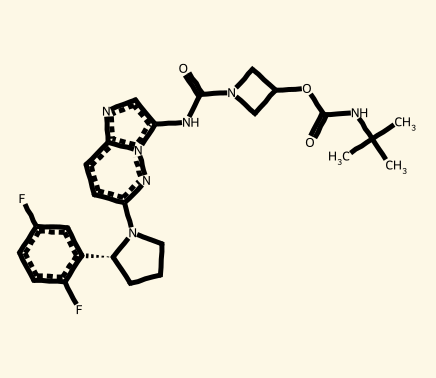 CC(C)(C)NC(=O)OC1CN(C(=O)Nc2cnc3ccc(N4CCC[C@@H]4c4cc(F)ccc4F)nn23)C1